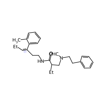 CC/C=C(/CCNC(=O)C(CC)CN(C=O)CCc1ccccc1)c1ccccc1C